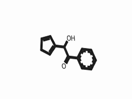 O=C(c1ccccc1)C(O)C1=CCC=C1